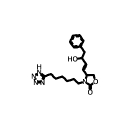 O=C1OCC(C=CC(O)Cc2ccccc2)N1CCCCCCc1nnn[nH]1